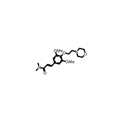 COc1cc(C=CC(=O)N(C)C)cc(OC)c1OCCN1CCOCC1